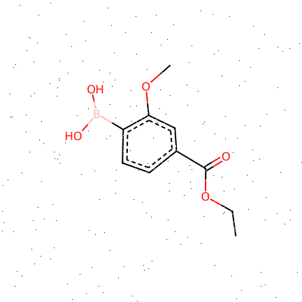 CCOC(=O)c1ccc(B(O)O)c(OC)c1